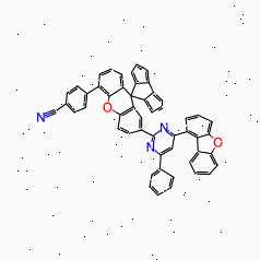 N#Cc1ccc(-c2cccc3c2Oc2ccc(-c4nc(-c5ccccc5)cc(-c5cccc6oc7ccccc7c56)n4)cc2C32c3ccccc3-c3ccccc32)cc1